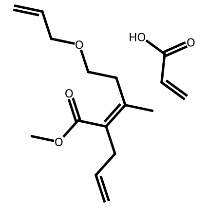 C=CC(=O)O.C=CCOCCC(C)=C(CC=C)C(=O)OC